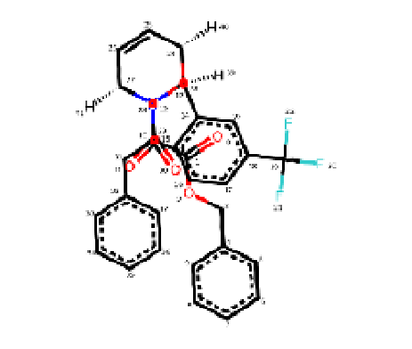 O=C(OCc1ccccc1)C(=O)N1[C@H](c2cccc(C(F)(F)F)c2)[C@@H]2C=C[C@H]1N(C(=O)Cc1ccccc1)O2